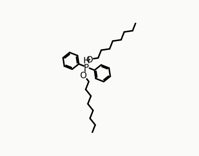 CCCCCCCCO[PH](OCCCCCCCC)(c1ccccc1)c1ccccc1